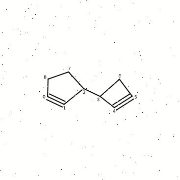 C1#C[C](C2C#CC2)CC1